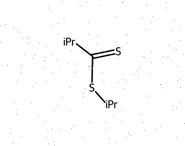 CC(C)SC(=S)C(C)C